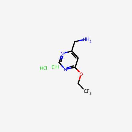 Cl.Cl.NCc1cc(OCC(F)(F)F)ncn1